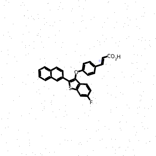 O=C(O)/C=C/c1ccc(Oc2c(-c3ccc4ccccc4c3)sc3cc(F)ccc23)cc1